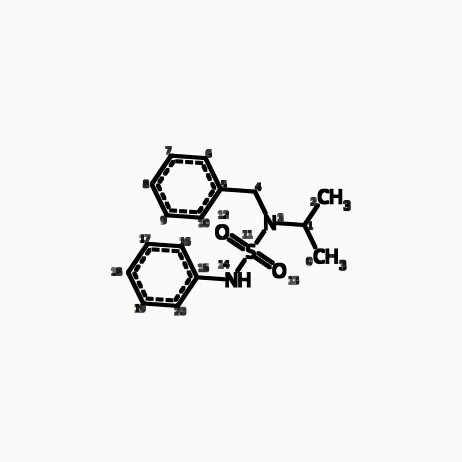 CC(C)N(Cc1ccccc1)S(=O)(=O)Nc1ccccc1